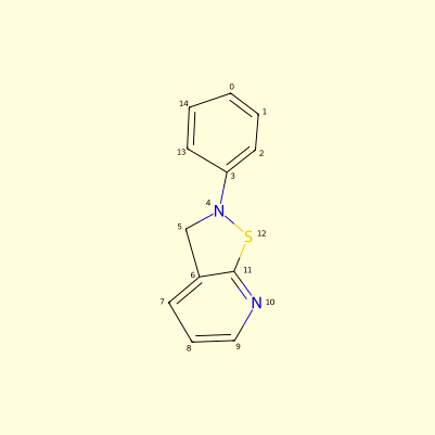 c1ccc(N2Cc3cccnc3S2)cc1